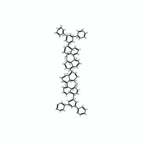 c1ccc(-c2cc(-c3ccccc3)cc(-c3ccc4oc5ccc(-c6ccc7oc8ccc(-c9cc(-c%10ccccc%10)cc(-c%10ccccc%10)c9)c9cccc(c%10cccc6c7%10)c89)c6cccc(c7cccc3c47)c56)c2)cc1